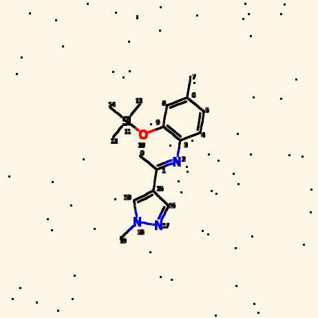 CC(=Nc1ccc(C)cc1O[Si](C)(C)C)c1cnn(C)c1